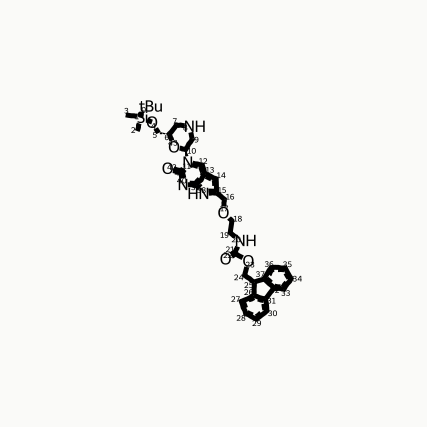 CC(C)(C)[Si](C)(C)OC[C@@H]1CNC[C@@H](n2cc3cc(COCCNC(=O)OCC4c5ccccc5-c5ccccc54)[nH]c3nc2=O)O1